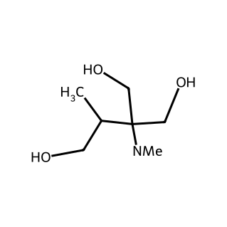 CNC(CO)(CO)C(C)CO